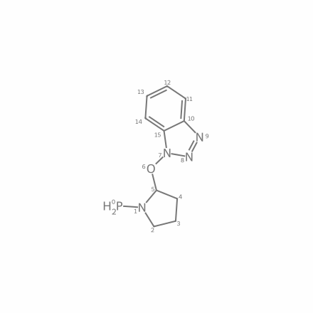 PN1CCCC1On1nnc2ccccc21